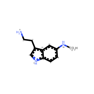 NCCc1c[nH]c2ccc(NC(=O)O)cc12